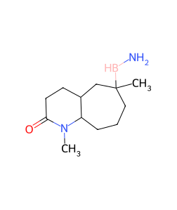 CN1C(=O)CCC2CC(C)(BN)CCCC21